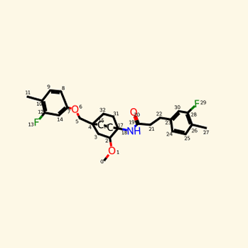 COC1CC2(COc3ccc(C)c(F)c3)CCC1(NC(=O)CCc1ccc(C)c(F)c1)CC2